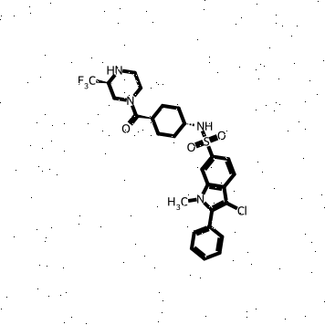 Cn1c(-c2ccccc2)c(Cl)c2ccc(S(=O)(=O)N[C@H]3CC[C@H](C(=O)N4CCN[C@H](C(F)(F)F)C4)CC3)cc21